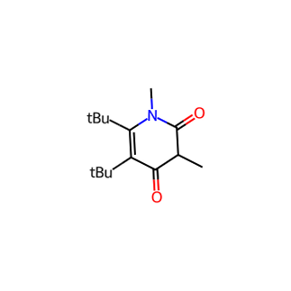 CC1C(=O)C(C(C)(C)C)=C(C(C)(C)C)N(C)C1=O